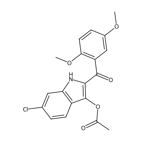 COc1ccc(OC)c(C(=O)c2[nH]c3cc(Cl)ccc3c2OC(C)=O)c1